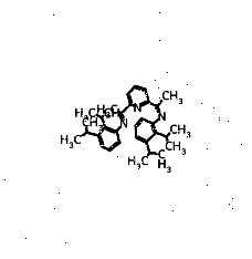 CC(=Nc1cccc(C(C)C)c1C(C)C)c1cccc(C(C)=Nc2cccc(C(C)C)c2C(C)C)n1